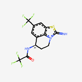 N=c1sc2cc(C(F)(F)F)cc3c2n1CC[C@H]3NC(=O)C(F)(F)F